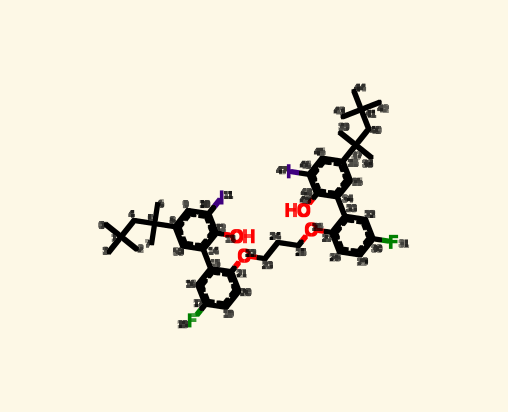 CC(C)(C)CC(C)(C)c1cc(I)c(O)c(-c2cc(F)ccc2OCCCOc2ccc(F)cc2-c2cc(C(C)(C)CC(C)(C)C)cc(I)c2O)c1